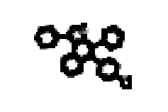 Clc1ccc(-c2c(-c3ccccc3)c3scc(-c4ccccc4)c3c3ccccc23)cc1